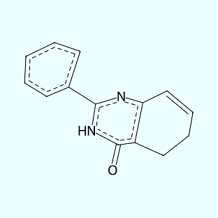 O=c1[nH]c(-c2ccccc2)nc2c1CCC=C2